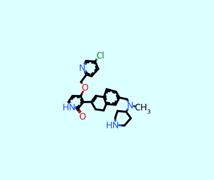 CN(Cc1ccc2c(c1)CCC(c1c(OCc3ccc(Cl)cn3)cc[nH]c1=O)=C2)C1CCNCC1